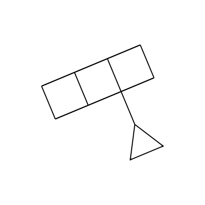 C1CC1C12C3C4C5C3C1C5C42